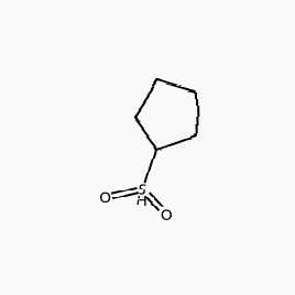 O=[SH](=O)[C]1CCCC1